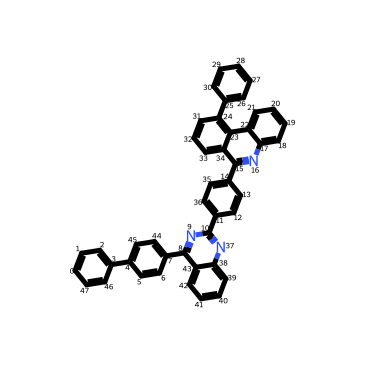 c1ccc(-c2ccc(-c3nc(-c4ccc(-c5nc6ccccc6c6c(-c7ccccc7)cccc56)cc4)nc4ccccc34)cc2)cc1